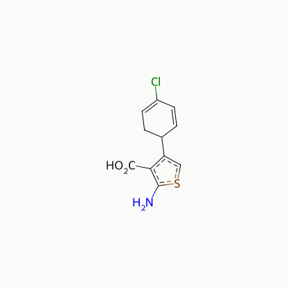 Nc1scc(C2C=CC(Cl)=CC2)c1C(=O)O